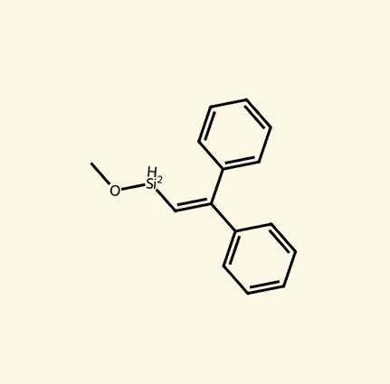 CO[SiH2]C=C(c1ccccc1)c1ccccc1